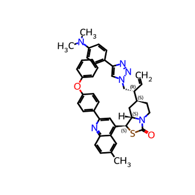 C=C[C@@H](Cn1cc(-c2ccc(N(C)C)cc2)nn1)[C@H]1CCN2C(=O)S[C@@H](c3cc(-c4ccc(Oc5ccccc5)cc4)nc4ccc(C)cc34)[C@@H]2C1